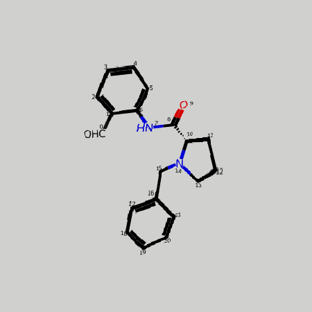 O=Cc1ccccc1NC(=O)[C@@H]1CCCN1Cc1ccccc1